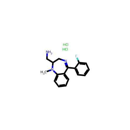 CN1c2ccccc2C(c2ccccc2F)=NCC1CN.Cl.Cl